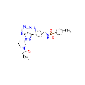 C=CC(=O)N1CCCC(n2nc(-c3ccc(CNS(=O)(=O)c4ccc(C)cc4)cc3)c3c(N)ncnc32)C1